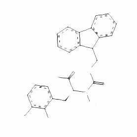 CN(C(=O)OCC1c2ccccc2-c2ccccc21)[C@@H](Cc1cccc(Cl)c1Cl)C(=O)O